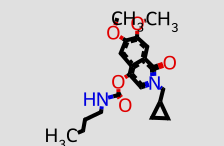 CCCCNC(=O)Oc1cn(CC2CC2)c(=O)c2cc(OC)c(OC)cc12